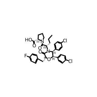 CCC[C@@H](C(=O)N1CCC[C@H]1C(=O)O)N1C(=O)[C@@H](Cc2ccc(F)cc2)O[C@H](c2ccc(Cl)cc2)[C@@H]1c1ccc(Cl)cc1